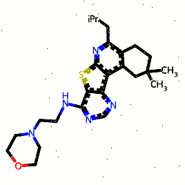 CC(C)Cc1nc2sc3c(NCCN4CCOCC4)ncnc3c2c2c1CCC(C)(C)C2